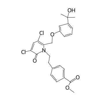 COC(=O)c1ccc(CCn2c(COc3cccc(C(C)(C)O)c3)c(Cl)cc(Cl)c2=O)cc1